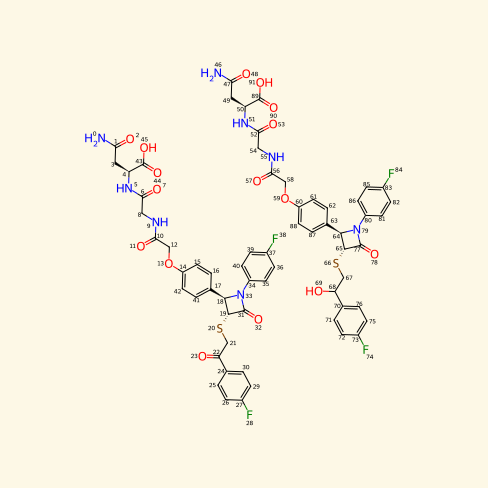 NC(=O)C[C@H](NC(=O)CNC(=O)COc1ccc([C@@H]2[C@@H](SCC(=O)c3ccc(F)cc3)C(=O)N2c2ccc(F)cc2)cc1)C(=O)O.NC(=O)C[C@H](NC(=O)CNC(=O)COc1ccc([C@@H]2[C@@H](SCC(O)c3ccc(F)cc3)C(=O)N2c2ccc(F)cc2)cc1)C(=O)O